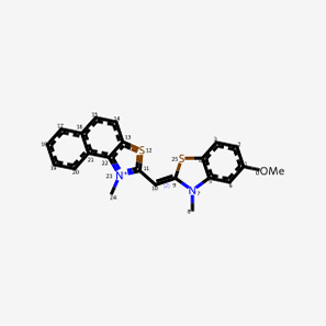 COc1ccc2c(c1)N(C)/C(=C/c1sc3ccc4ccccc4c3[n+]1C)S2